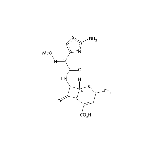 CON=C(C(=O)NC1C(=O)N2C(C(=O)O)=CC(C)S[C@@H]12)c1csc(N)n1